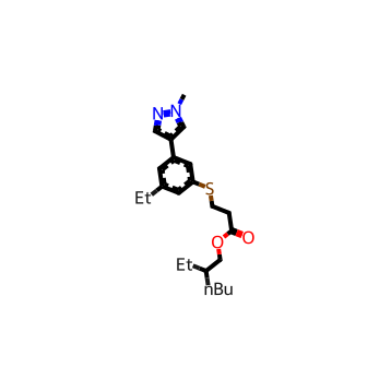 CCCCC(CC)COC(=O)CCSc1cc(CC)cc(-c2cnn(C)c2)c1